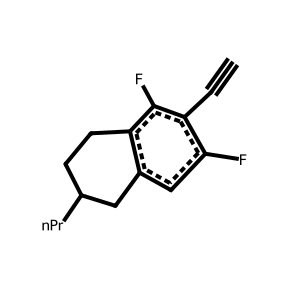 C#Cc1c(F)cc2c(c1F)CCC(CCC)C2